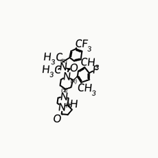 Cc1cc([C@@H](C)N(C)C(=O)N2CC[C@H](N3CCN4C(=O)CC[C@H]4C3)C[C@@H]2c2ccc(F)cc2C)cc(C(F)(F)F)c1